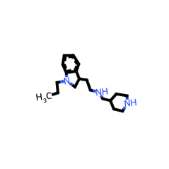 CCCN1CC(CCNCC2CCNCC2)c2ccccc21